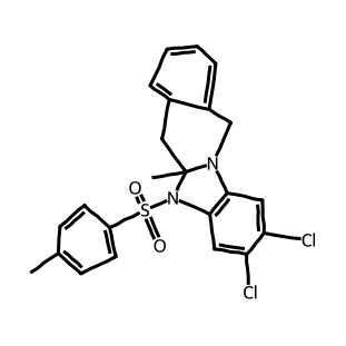 Cc1ccc(S(=O)(=O)N2c3cc(Cl)c(Cl)cc3N3Cc4ccccc4CC32C)cc1